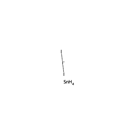 I[I-]I.[SnH4]